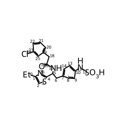 CCc1csc(C(Cc2[c]cc(NS(=O)(=O)O)cc2)NC(=O)Cc2cccc(Cl)c2)n1